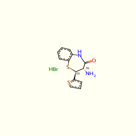 Br.N[C@H]1C(=O)Nc2ccccc2S[C@@H]1c1cccs1